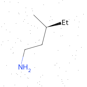 CC[C@H](C)CCN